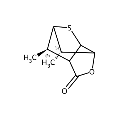 C[C@@H]1C2C(=O)OC3C2SC1[C@H]3C